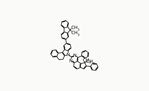 CC1(C)C(c2ccccc2)=Cc2ccc3nc(-n4c5c(c6cc(-c7ccc8c(c7)C(C)(C)c7ccccc7-8)ccc64)-c4ccccc4CC5)nc(-c4ccccc4)c3c21